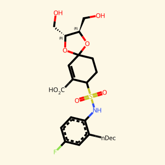 CCCCCCCCCCc1cc(F)ccc1NS(=O)(=O)C1CCC2(C=C1C(=O)O)O[C@H](CO)[C@@H](CO)O2